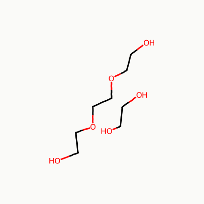 OCCO.OCCOCCOCCO